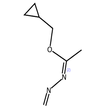 C=N/N=C(/C)OCC1CC1